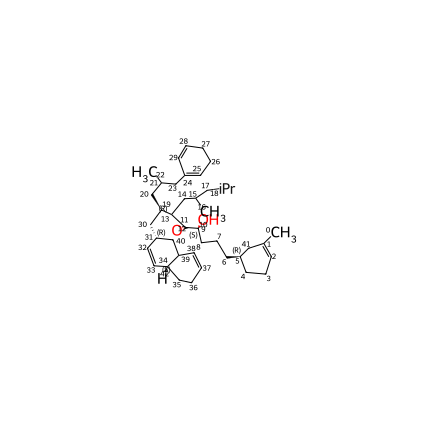 CC1=CCC[C@@H](CCC[C@H](O)C(=O)C(CC(C)CC(C)C)[C@H](CC(C)CC2=CCCC=C2)C[C@H]2C=C[C@H]3CCC=CC3C2)C1